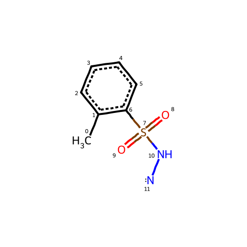 Cc1ccccc1S(=O)(=O)N[N]